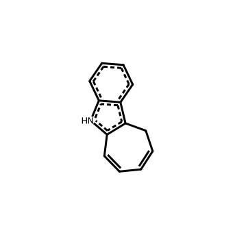 C1=CCc2c([nH]c3ccccc23)C=C1